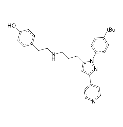 CC(C)(C)c1ccc(-n2nc(-c3ccncc3)cc2CCCNCCc2ccc(O)cc2)cc1